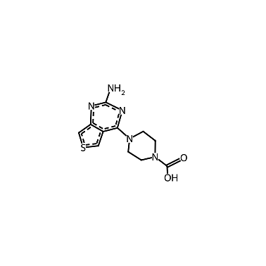 Nc1nc(N2CCN(C(=O)O)CC2)c2cscc2n1